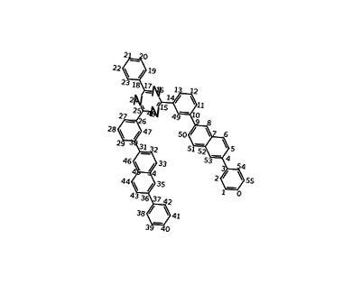 c1ccc(-c2ccc3cc(-c4cccc(-c5nc(-c6ccccc6)nc(-c6cccc(-c7ccc8cc(-c9ccccc9)ccc8c7)c6)n5)c4)ccc3c2)cc1